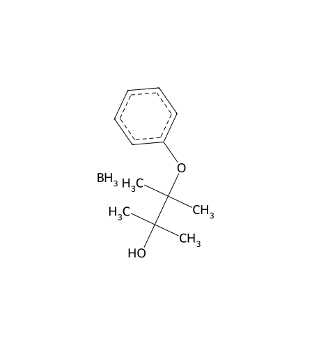 B.CC(C)(O)C(C)(C)Oc1ccccc1